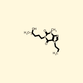 CCCn1cnc2c1c(=O)n(CCC[C@H](C)O)c(=O)n2C